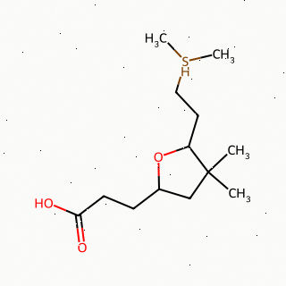 C[SH](C)CCC1OC(CCC(=O)O)CC1(C)C